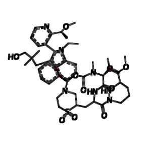 CCn1c(-c2cccnc2[C@H](C)OC)c(CC(C)(C)CO)c2cc(N3CCS(=O)(=O)C(CC(NC(=O)[C@H](C(C)C)N(C)C(=O)OCc4ccccc4)C(=O)N4CCCC(C(=O)OC)N4)C3)ccc21